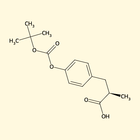 C[C@H](Cc1ccc(OC(=O)OC(C)(C)C)cc1)C(=O)O